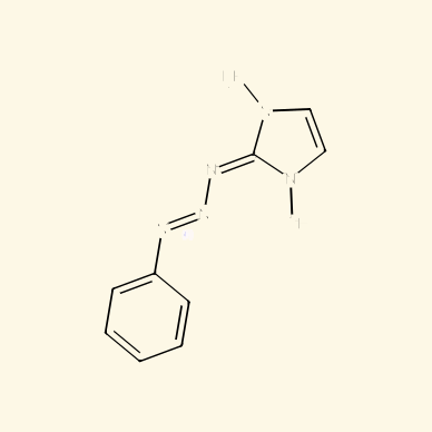 Pn1ccn(P)c1=N/N=N/c1ccccc1